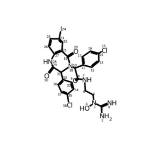 N=C(N)N(O)CCNC(=O)C(c1ccc(Cl)cc1)N1C(=O)c2cc(I)ccc2NC(=O)C1c1ccc(Cl)cc1